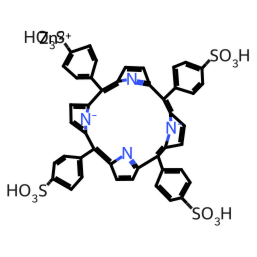 O=S(=O)(O)c1ccc(-c2c3nc(c(-c4ccc(S(=O)(=O)O)cc4)c4ccc([n-]4)c(-c4ccc(S(=O)(=O)O)cc4)c4nc(c(-c5ccc(S(=O)(=O)O)cc5)c5ccc2[n-]5)C=C4)C=C3)cc1.[Zn+2]